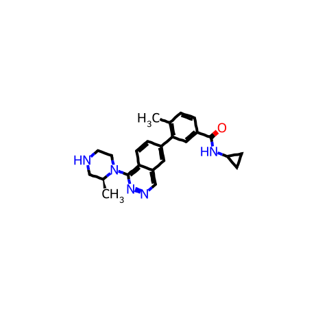 Cc1ccc(C(=O)NC2CC2)cc1-c1ccc2c(N3CCNC[C@@H]3C)nncc2c1